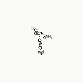 NC(=O)CCCn1cc(-c2ccc(Cl)cc2Cl)nc1[CH]Cc1ccc(OCc2ccc(-c3nnn[nH]3)cc2)cc1